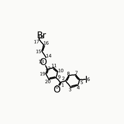 O=C(c1ccc(I)cc1)c1ccc(OC/C=C/CBr)cc1